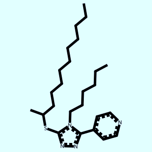 CCCCCCCCCCC(C)Sc1nnc(-c2ccncc2)n1CCCCCC